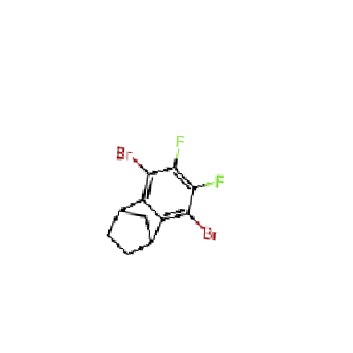 Fc1c(F)c(Br)c2c(c1Br)C1CCC2C1